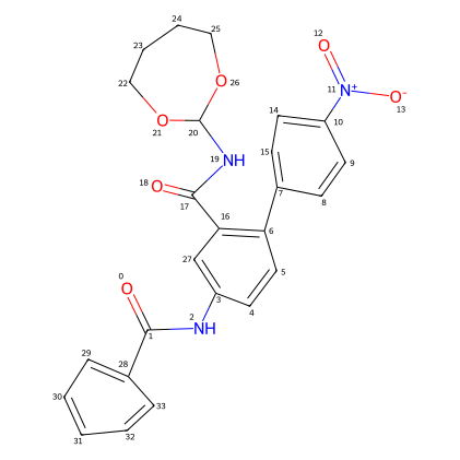 O=C(Nc1ccc(-c2ccc([N+](=O)[O-])cc2)c(C(=O)NC2OCCCCO2)c1)c1ccccc1